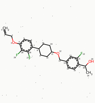 C=CCOc1ccc(C2CCC(OCc3ccc(C(C)O)c(F)c3)CC2)c(F)c1F